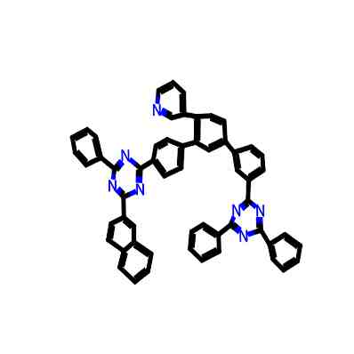 c1ccc(-c2nc(-c3ccccc3)nc(-c3cccc(-c4ccc(-c5cccnc5)c(-c5ccc(-c6nc(-c7ccccc7)nc(-c7ccc8ccccc8c7)n6)cc5)c4)c3)n2)cc1